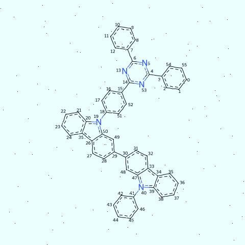 c1ccc(-c2nc(-c3ccccc3)nc(-c3ccc(-n4c5ccccc5c5ccc(-c6ccc7c8ccccc8n(-c8ccccc8)c7c6)cc54)cc3)n2)cc1